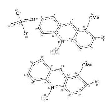 CCc1ccc2c(nc3ccccc3[n+]2C)c1OC.CCc1ccc2c(nc3ccccc3[n+]2C)c1OC.O=S(=O)([O-])[O-]